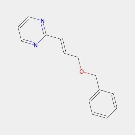 C(=Cc1ncccn1)COCc1ccccc1